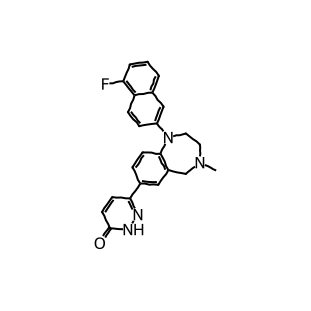 CN1CCN(c2ccc3c(F)cccc3c2)c2ccc(-c3ccc(=O)[nH]n3)cc2C1